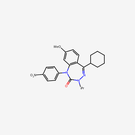 COc1ccc2c(c1)N(c1ccc([N+](=O)[O-])cc1)C(=O)N(C(C)C)N=C2C1CCCCC1